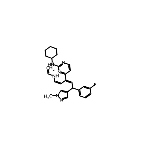 C=CN/C=C\C(=C/C(c1cccc(F)c1)c1cnn(C)c1)c1ccnc(NC2CCCCC2)n1